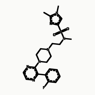 Cc1nc(S(=O)(=O)N(C)CCN2CCN(c3nccnc3-c3ccccc3F)CC2)cn1C